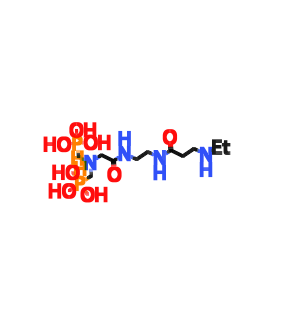 CCNCCC(=O)NCCNC(=O)CN(C[PH](O)(O)O)C[PH](O)(O)O